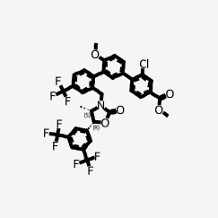 COC(=O)c1ccc(-c2ccc(OC)c(-c3ccc(C(F)(F)F)cc3CN3C(=O)O[C@H](c4cc(C(F)(F)F)cc(C(F)(F)F)c4)[C@@H]3C)c2)c(Cl)c1